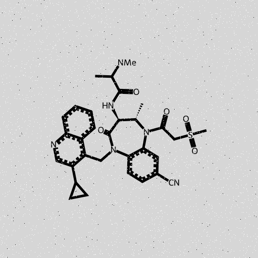 CNC(C)C(=O)N[C@@H]1C(=O)N(Cc2c(C3CC3)cnc3ccccc23)c2ccc(C#N)cc2N(C(=O)CS(C)(=O)=O)[C@H]1C